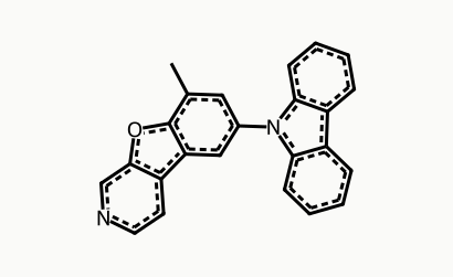 Cc1cc(-n2c3ccccc3c3ccccc32)cc2c1oc1cnccc12